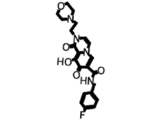 O=C(NCc1ccc(F)cc1)c1cn2ccn(CCN3CCOCC3)c(=O)c2c(O)c1=O